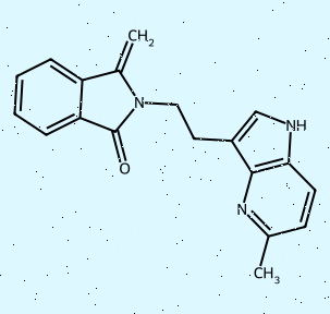 C=C1c2ccccc2C(=O)N1CCc1c[nH]c2ccc(C)nc12